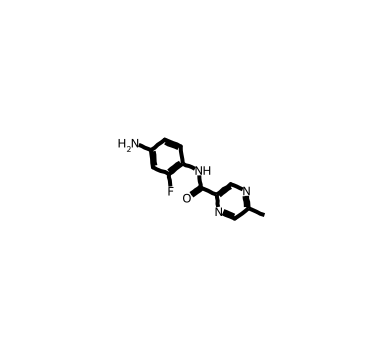 Cc1cnc(C(=O)Nc2ccc(N)cc2F)cn1